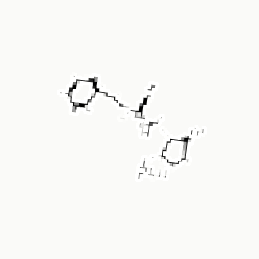 CCOC(=O)C[C@H]1CCC(=O)[C@H]1CNC(=O)OCc1ccccc1